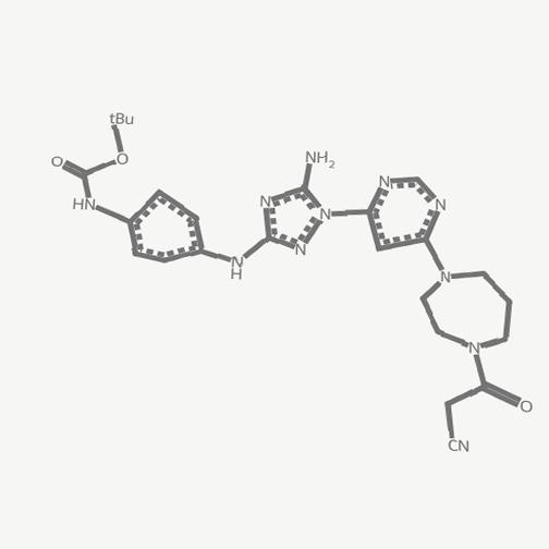 CC(C)(C)OC(=O)Nc1ccc(Nc2nc(N)n(-c3cc(N4CCCN(C(=O)CC#N)CC4)ncn3)n2)cc1